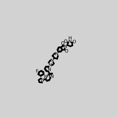 O=C1CCC(N2C(=O)c3ccc(N4CCC(N5CCN(c6cccc(-c7cnc8ccc(N9CCC[C@@H]9c9cccc(F)c9)nn78)n6)CC5)CC4)cc3C2=O)C(=O)N1